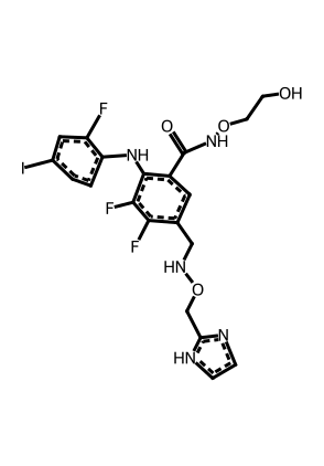 O=C(NOCCO)c1cc(CNOCc2ncc[nH]2)c(F)c(F)c1Nc1ccc(I)cc1F